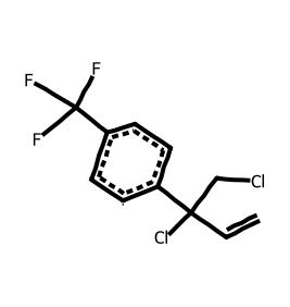 C=CC(Cl)(CCl)c1[c]cc(C(F)(F)F)cc1